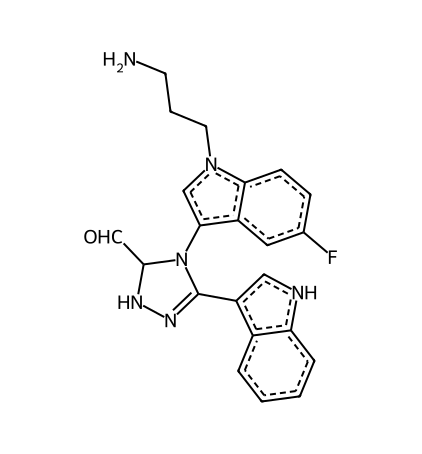 NCCCn1cc(N2C(c3c[nH]c4ccccc34)=NNC2C=O)c2cc(F)ccc21